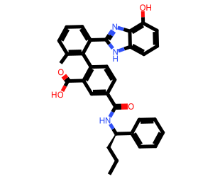 CCC[C@@H](NC(=O)c1ccc(-c2c(C)cccc2-c2nc3c(O)cccc3[nH]2)c(C(=O)O)c1)c1ccccc1